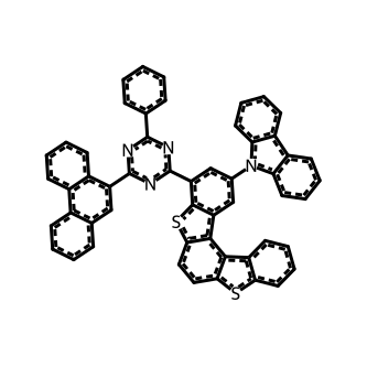 c1ccc(-c2nc(-c3cc4ccccc4c4ccccc34)nc(-c3cc(-n4c5ccccc5c5ccccc54)cc4c3sc3ccc5sc6ccccc6c5c34)n2)cc1